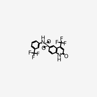 O=c1cc(C(F)(F)F)c2cc(S(=O)(=O)Nc3cccc(C(F)(F)F)c3)ccc2[nH]1